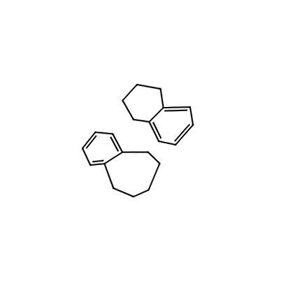 c1ccc2c(c1)CCCC2.c1ccc2c(c1)CCCCC2